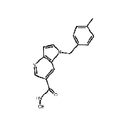 Cc1ccc(Cn2ccc3ncc(C(=O)NO)cc32)cc1